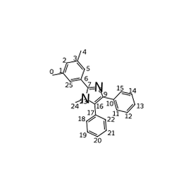 Cc1cc(C)cc(-c2nc(-c3ccccc3)c(-c3ccccc3)n2C)c1